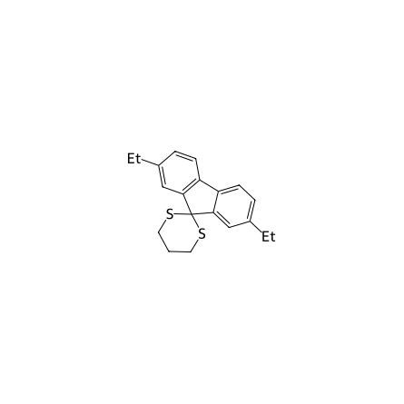 CCc1ccc2c(c1)C1(SCCCS1)c1cc(CC)ccc1-2